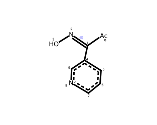 CC(=O)/C(=N/O)c1cccnc1